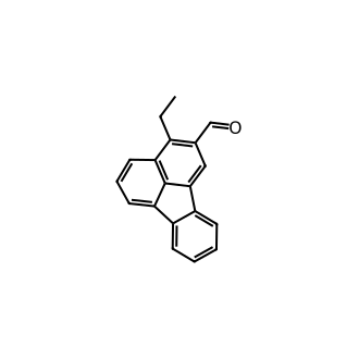 CCc1c(C=O)cc2c3c(cccc13)-c1ccccc1-2